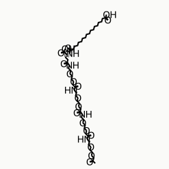 CC(=O)COCCOCCNC(=O)COCCOCCNC(=O)COCCOCCNC(=O)COCCOCCNC(=O)CC[C@H](NC(=O)CCCCCCCCCCCCCCCCC(=O)O)C(=O)O